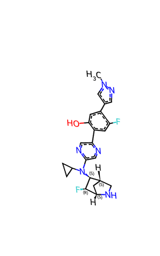 Cn1cc(-c2cc(O)c(-c3cnc(N(C4CC4)[C@H]4[C@@H]5CN[C@@H](C5)[C@H]4F)cn3)cc2F)cn1